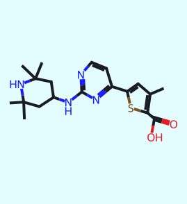 Cc1cc(-c2ccnc(NC3CC(C)(C)NC(C)(C)C3)n2)sc1C(=O)O